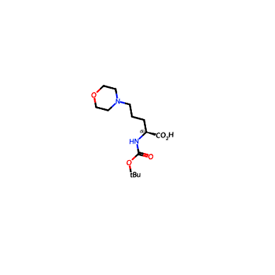 CC(C)(C)OC(=O)N[C@@H](CCCN1CCOCC1)C(=O)O